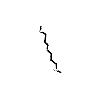 CNCCCOCCCOC